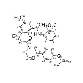 Cc1cc([C@@H](C)Nc2ccccc2C(=O)O)c2oc(N3CCO[C@H](c4ccc(OC(F)F)cc4)C3)cc(=O)c2c1